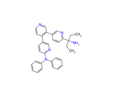 CCC(N)(CC)c1ccc(-c2cnccc2-c2ccc(N(c3ccccc3)c3ccccc3)nc2)cn1